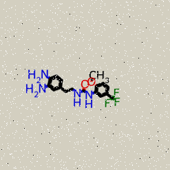 COc1ccc(C(F)(F)F)cc1NC(=O)NCCc1ccc(N)c(N)c1